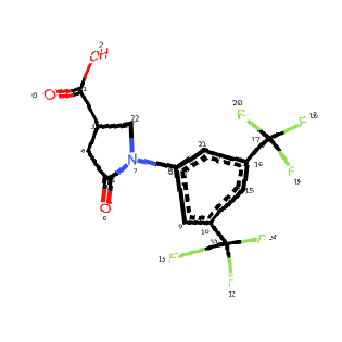 O=C(O)C1CC(=O)N(c2cc(C(F)(F)F)cc(C(F)(F)F)c2)C1